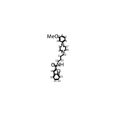 COc1cccc(N2CCN(CCCCNC(=O)c3cc4ccccc4o3)CC2)c1